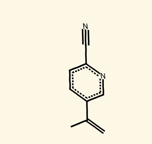 C=C(C)c1ccc(C#N)nc1